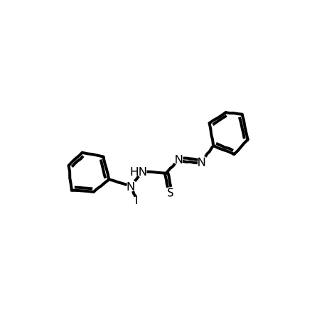 S=C(/N=N/c1ccccc1)NN(I)c1ccccc1